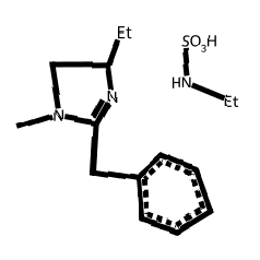 CCC1CN(C)C(Cc2ccccc2)=N1.CCNS(=O)(=O)O